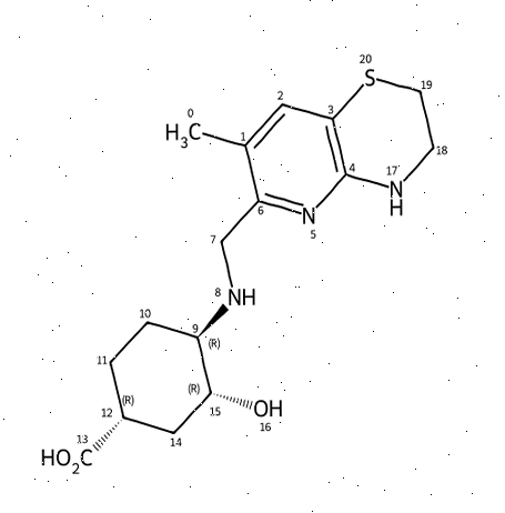 Cc1cc2c(nc1CN[C@@H]1CC[C@@H](C(=O)O)C[C@H]1O)NCCS2